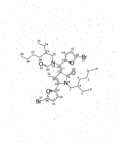 CCCCC(CC)CN1C(=O)/C(=C(\c2ccc(Br)o2)N(C=O)CC(CC)CCCC)C(C)=C1c1ccc(Br)o1